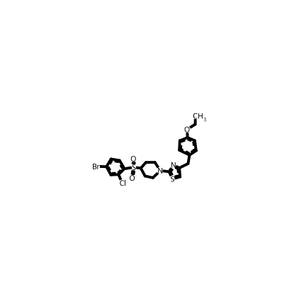 CCOc1ccc(Cc2csc(N3CCC(S(=O)(=O)c4ccc(Br)cc4Cl)CC3)n2)cc1